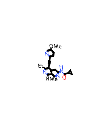 CCc1nc(NC)c2cnc(NC(=O)C3CC3)cc2c1C#Cc1ccc(OC)cn1